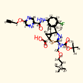 C#CCOc1cnc(C(=O)Nc2ccc(F)c([C@@]3(C)N=C(N(COCC[Si](C)(C)C)C(=O)OC(C)(C)C)S[C@@]4(C(=O)O)C[C@H]43)c2)cn1